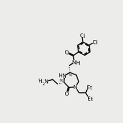 CCC(CC)CN1CC[C@@H](CNC(=O)c2ccc(Cl)c(Cl)c2)N[C@@H](CCN)C1=O